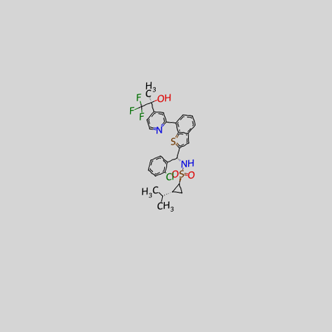 CC(C)[C@H]1C[C@@H]1S(=O)(=O)N[C@@H](c1cc2cccc(-c3cc([C@](C)(O)C(F)(F)F)ccn3)c2s1)c1ccccc1Cl